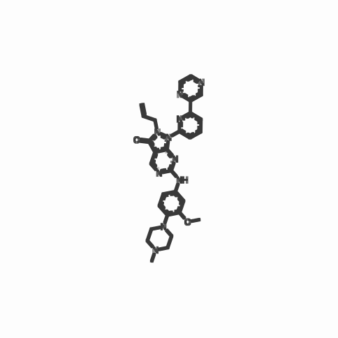 C=CCn1c(=O)c2cnc(Nc3ccc(N4CCN(C)CC4)c(OC)c3)nc2n1-c1cccc(-c2cnccn2)n1